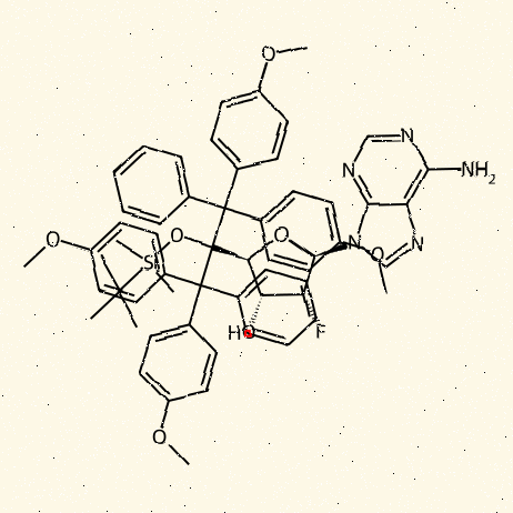 COc1ccc(C(c2ccccc2)(c2ccc(OC)cc2)C(O[Si](C)(C)C(C)(C)C)([C@H]2O[C@@H](n3cnc4c(N)ncnc43)[C@H](F)[C@@H]2O)C(c2ccccc2)(c2ccc(OC)cc2)c2ccc(OC)cc2)cc1